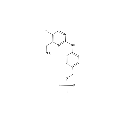 CCc1cnc(Nc2ccc(COC(C)(F)F)cc2)nc1CN